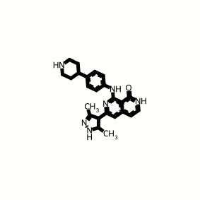 CC1=NNC(C)C1c1cc2cc[nH]c(=O)c2c(Nc2ccc(C3CCNCC3)cc2)n1